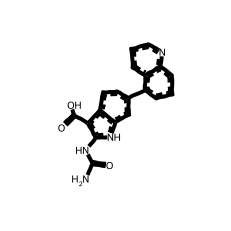 NC(=O)Nc1[nH]c2cc(-c3cccc4ncccc34)ccc2c1C(=O)O